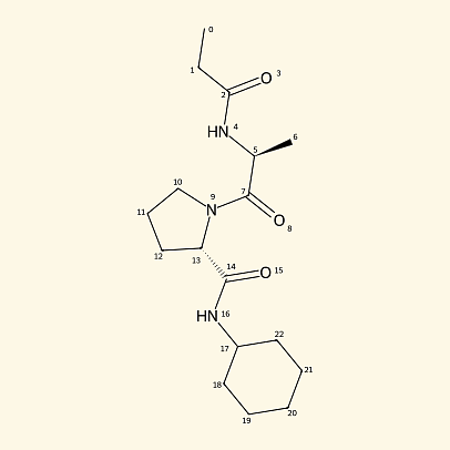 CCC(=O)N[C@@H](C)C(=O)N1CCC[C@H]1C(=O)NC1CCCCC1